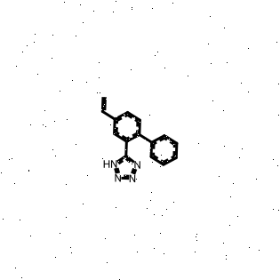 C=Cc1ccc(-c2ccccc2)c(-c2nnn[nH]2)c1